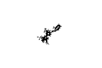 Cn1cnc2c(C#N)nc(-c3ccc(OCCCN4CC5CCC(C4)N5)c(C(F)(F)F)c3)cc21